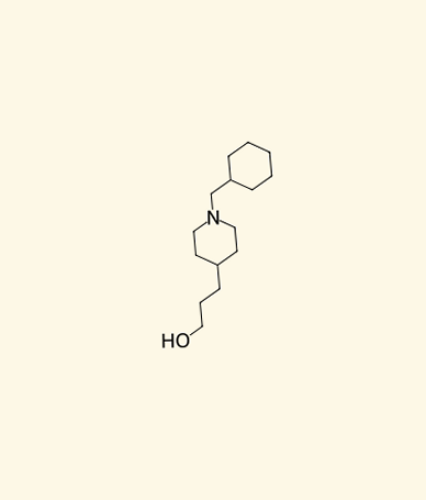 OCCCC1CCN(CC2CCCCC2)CC1